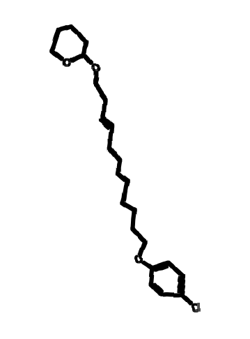 Clc1ccc(OCCCCCCCCC=CCCOC2CCCCO2)cc1